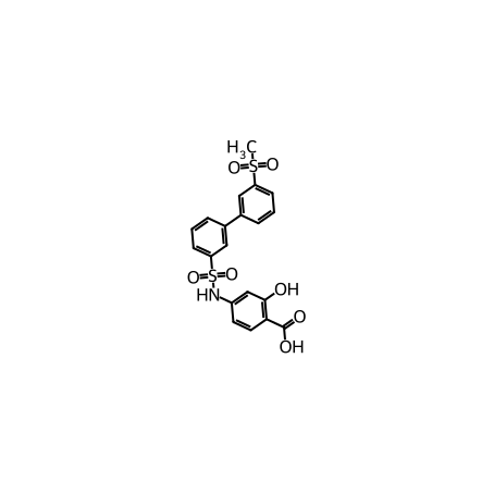 CS(=O)(=O)c1cccc(-c2cccc(S(=O)(=O)Nc3ccc(C(=O)O)c(O)c3)c2)c1